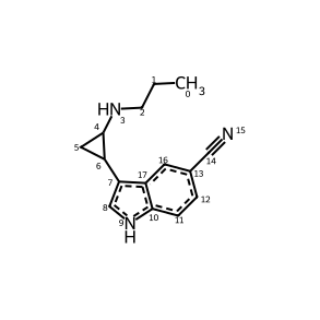 CCCNC1CC1c1c[nH]c2ccc(C#N)cc12